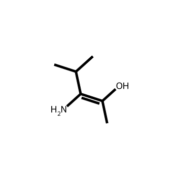 C/C(O)=C(\N)C(C)C